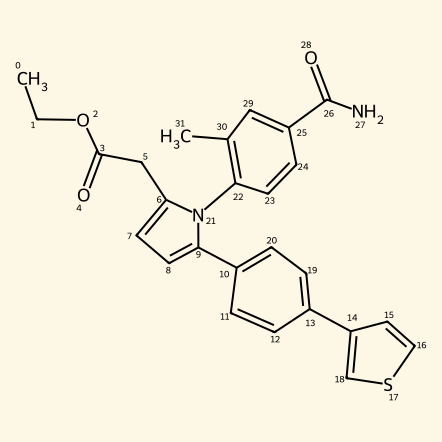 CCOC(=O)Cc1ccc(-c2ccc(-c3ccsc3)cc2)n1-c1ccc(C(N)=O)cc1C